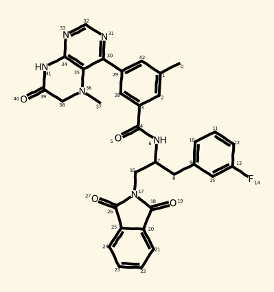 Cc1cc(C(=O)NC(Cc2cccc(F)c2)CN2C(=O)c3ccccc3C2=O)cc(-c2ncnc3c2N(C)CC(=O)N3)c1